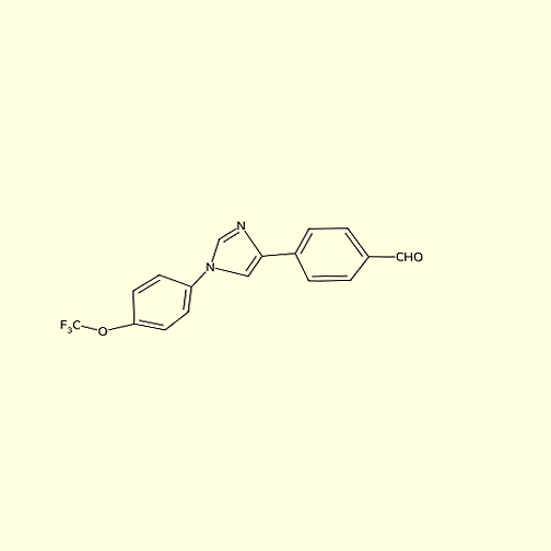 O=Cc1ccc(-c2cn(-c3ccc(OC(F)(F)F)cc3)cn2)cc1